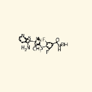 Cn1c(Sc2c(F)cc(C(=O)NO)cc2F)nnc1-c1sc2ncccc2c1N